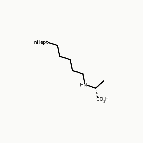 CCCCCCCCCCCCN[C@H](C)C(=O)O